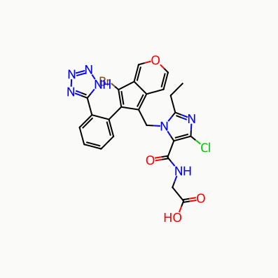 CCc1nc(Cl)c(C(=O)NCC(=O)O)n1Cc1c2ccocc-2c(Br)c1-c1ccccc1-c1nnn[nH]1